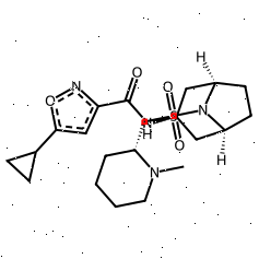 CN1CCCC[C@@H]1CS(=O)(=O)N1[C@@H]2CC[C@H]1C[C@@H](NC(=O)c1cc(C3CC3)on1)C2